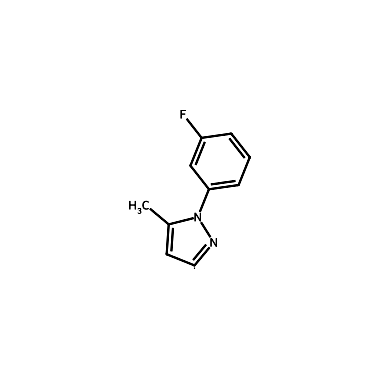 Cc1c[c]nn1-c1cccc(F)c1